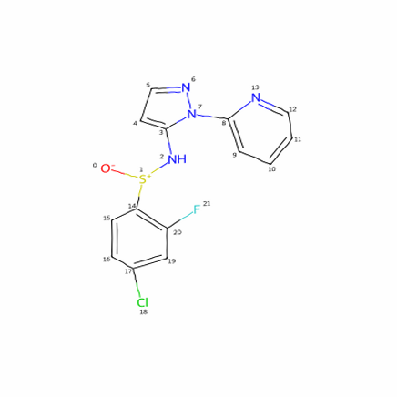 [O-][S+](Nc1ccnn1-c1ccccn1)c1ccc(Cl)cc1F